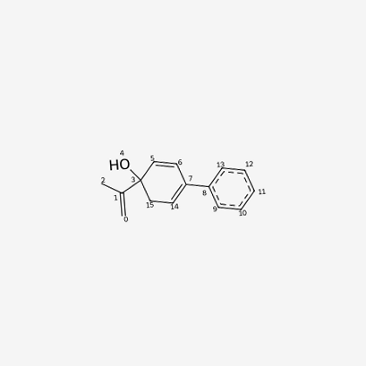 C=C(C)C1(O)C=CC(c2ccccc2)=CC1